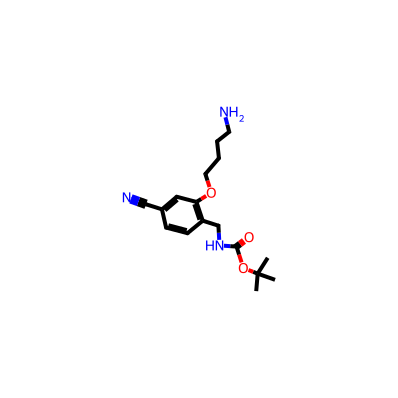 CC(C)(C)OC(=O)NCc1ccc(C#N)cc1OCCCCN